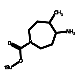 CC1CCN(C(=O)OC(C)(C)C)CCC1N